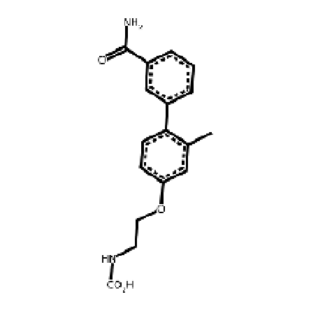 Cc1cc(OCCNC(=O)O)ccc1-c1cccc(C(N)=O)c1